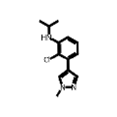 CC(C)Nc1cccc(-c2cnn(C)c2)c1Cl